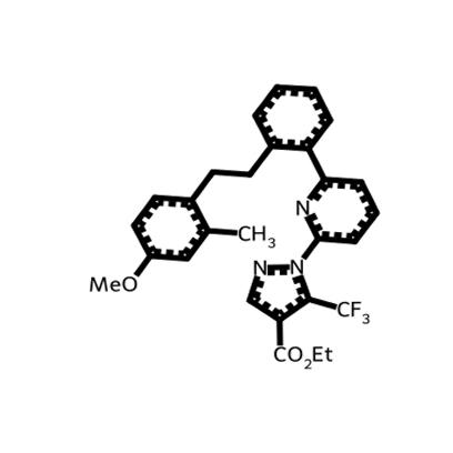 CCOC(=O)c1cnn(-c2cccc(-c3ccccc3CCc3ccc(OC)cc3C)n2)c1C(F)(F)F